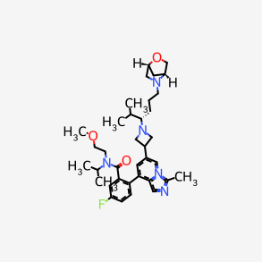 COCCN(C(=O)c1cc(F)ccc1-c1cc(C2CN([C@@H](CCCN3C[C@H]4C[C@@H]3CO4)C(C)C)C2)cn2c(C)ncc12)C(C)C